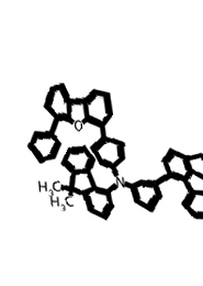 CC1(C)c2ccccc2-c2c(N(c3ccc(-c4cccc5c4oc4c(-c6ccccc6)cccc45)cc3)c3cccc(-c4ccc5cccc6c5c4-c4ccccc4-6)c3)cccc21